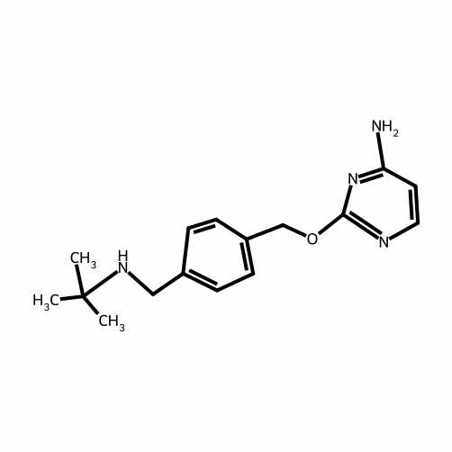 CC(C)(C)NCc1ccc(COc2nccc(N)n2)cc1